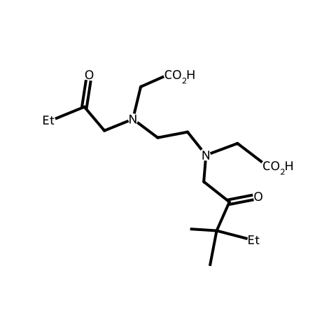 CCC(=O)CN(CCN(CC(=O)O)CC(=O)C(C)(C)CC)CC(=O)O